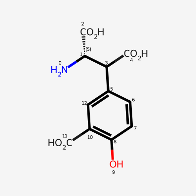 N[C@H](C(=O)O)C(C(=O)O)c1ccc(O)c(C(=O)O)c1